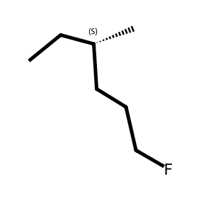 CC[C@H](C)CCCF